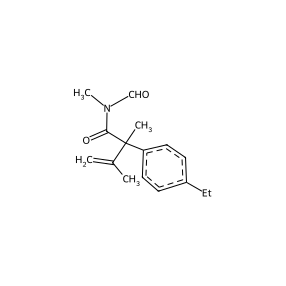 C=C(C)C(C)(C(=O)N(C)C=O)c1ccc(CC)cc1